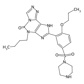 CCCCn1c(=O)n2cnnc2c2[nH]c(-c3cc(S(=O)(=O)N4CCNCC4)ccc3OCCC)nc21